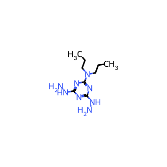 CCCN(CCC)c1nc(NN)nc(NN)n1